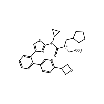 O=C(O)C[C@@H](CC1CCCC1)C(=O)N(c1nc(-c2ccccc2-c2ccc(C3COC3)nc2)cs1)C1CC1